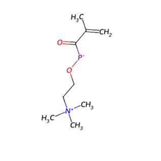 C=C(C)C(=O)[P-]OCC[N+](C)(C)C